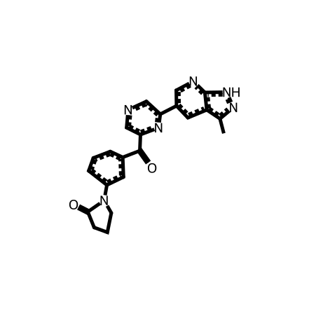 Cc1n[nH]c2ncc(-c3cncc(C(=O)c4cccc(N5CCCC5=O)c4)n3)cc12